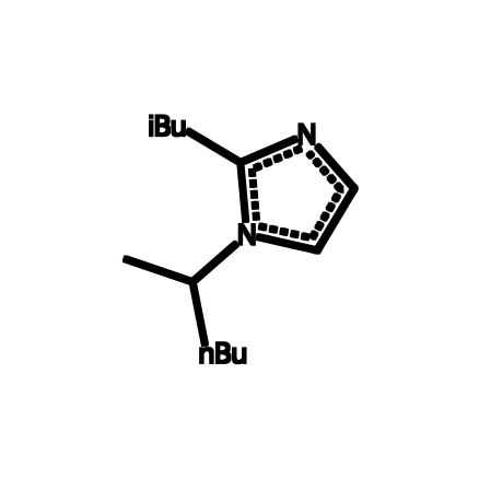 CCCCC(C)n1ccnc1C(C)CC